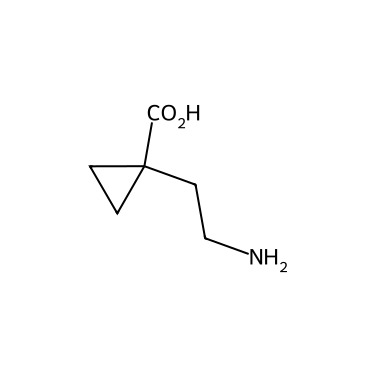 NCCC1(C(=O)O)CC1